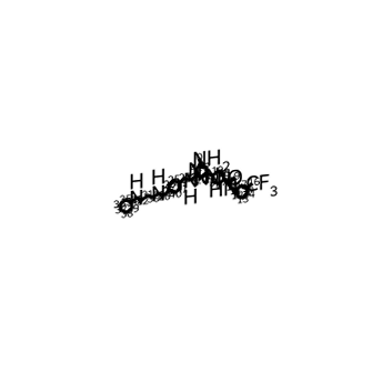 Nc1cc(N2CCN(C(=O)Nc3cccc(C(F)(F)F)c3)CC2)nc(NCc2ccc(CNCCCNC3CCCCC3)cc2)n1